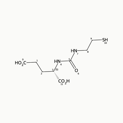 O=C(O)CC[C@H](NC(=O)NCCS)C(=O)O